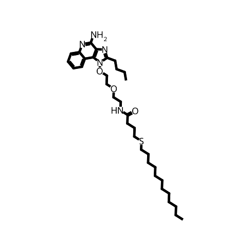 CCCCCCCCCCCCSCCCC(=O)NCCOCCOn1c(CCCC)nc2c(N)nc3ccccc3c21